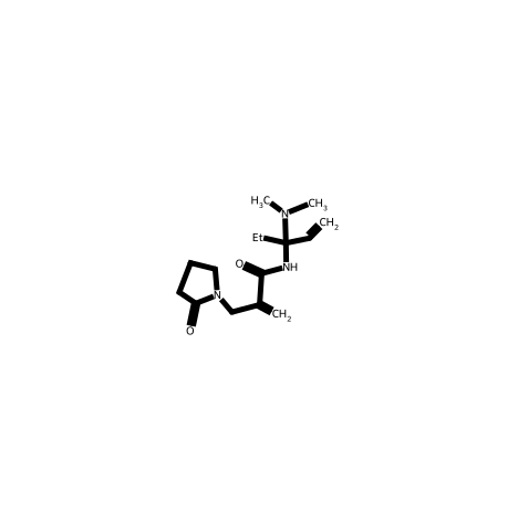 C=CC(CC)(NC(=O)C(=C)CN1CCCC1=O)N(C)C